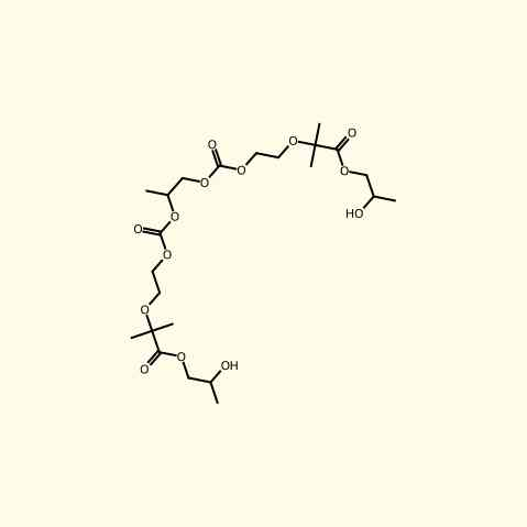 CC(O)COC(=O)C(C)(C)OCCOC(=O)OCC(C)OC(=O)OCCOC(C)(C)C(=O)OCC(C)O